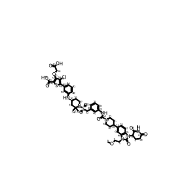 COCCn1c(=O)n(C2CCC(=O)NC2=O)c2ccc(C3CCN(C(=O)Nc4cccc(CS(=O)(=O)N5CC[C@H](Nc6cccc(-c7sc(C(=O)O)c(OCC(=O)O)c7Cl)c6)CC5(C)C)c4)CC3)cc21